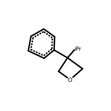 CC(C)C1(c2ccccc2)COC1